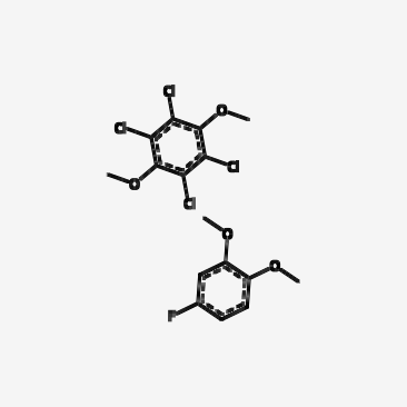 COc1c(Cl)c(Cl)c(OC)c(Cl)c1Cl.COc1ccc(F)cc1OC